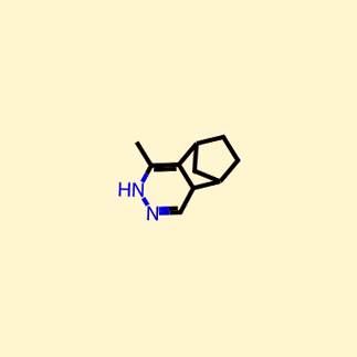 CC1=C2C3CCC(C3)C2C=NN1